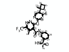 Cc1c(C(F)(F)F)nnc(Oc2ncc(C3(C)CCC3)c(F)n2)c1C(=O)Nc1cccc(S(C)(=N)=O)c1